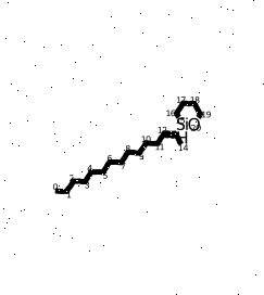 CCCCCCCCCCCC/C=C(\C)[SiH]1CCCCO1